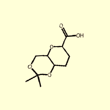 CC1(C)OCC2OC(C(=O)O)CCC2O1